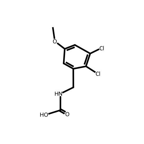 COc1cc(Cl)c(Cl)c(CNC(=O)O)c1